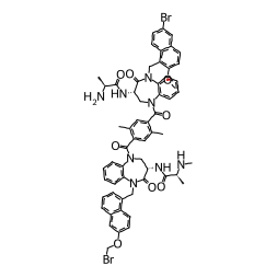 CN[C@@H](C)C(=O)N[C@H]1CN(C(=O)c2cc(C)c(C(=O)N3C[C@H](NC(=O)[C@H](C)N)C(=O)N(Cc4c(OC)ccc5cc(Br)ccc45)c4ccccc43)cc2C)c2ccccc2N(Cc2cccc3cc(OCBr)ccc23)C1=O